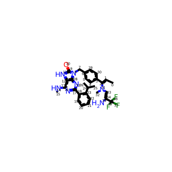 C/C=C(/c1ccc(Cn2c(=O)[nH]c3c(NC)nc(-c4ccccc4C(C)C)nc32)cc1)N(C)/C=C(\N)C(F)(F)F